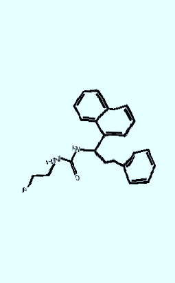 O=C(NCCF)NC(Cc1ccccc1)c1cccc2ccccc12